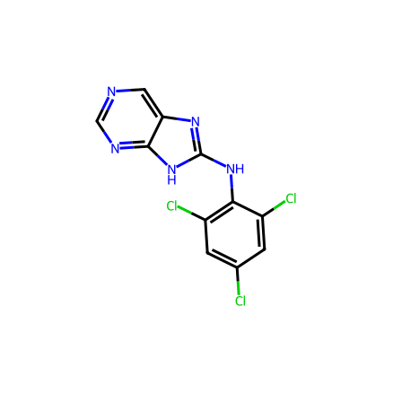 Clc1cc(Cl)c(Nc2nc3cncnc3[nH]2)c(Cl)c1